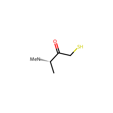 CN[C@@H](C)C(=O)CS